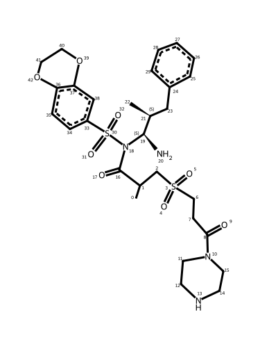 CC(CS(=O)(=O)CCC(=O)N1CCNCC1)C(=O)N([C@H](N)[C@@H](C)Cc1ccccc1)S(=O)(=O)c1ccc2c(c1)OCCO2